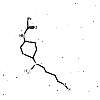 CC(C)OCCCCN(C)C1CCC(NC(=O)C(C)C)CC1